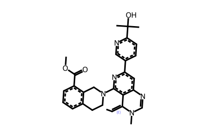 C/C=C1\c2c(cc(-c3ccc(C(C)(C)O)nc3)nc2N2CCc3cccc(C(=O)OC)c3C2)N=CN1C